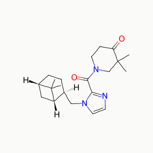 CC1(C)CN(C(=O)c2nccn2C[C@@H]2CC[C@H]3C[C@@H]2C3(C)C)CCC1=O